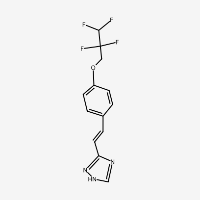 FC(F)C(F)(F)COc1ccc(/C=C/c2nc[nH]n2)cc1